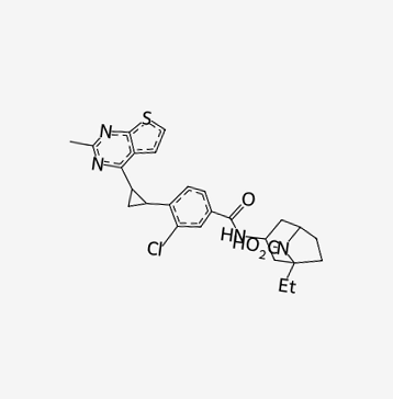 CCC12CCC(CC(NC(=O)c3ccc(C4CC4c4nc(C)nc5sccc45)c(Cl)c3)C1)N2C(=O)O